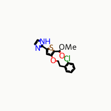 COC(=O)c1sc(-c2ncc[nH]2)cc1OCCc1ccccc1Cl